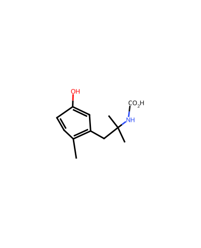 Cc1ccc(O)cc1CC(C)(C)NC(=O)O